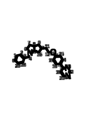 c1ccc(CN2CCC3CC(CCOc4ccc(-c5ccncn5)cc4)CC32)cc1